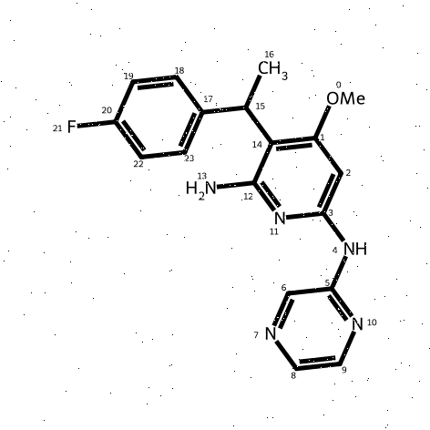 COc1cc(Nc2cnccn2)nc(N)c1C(C)c1ccc(F)cc1